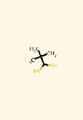 [CH2]C(C)(C)C(S)S